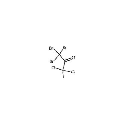 CC(Cl)(Cl)C(=O)C(Br)(Br)Br